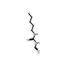 CCCCCNC(=O)N[C]=O